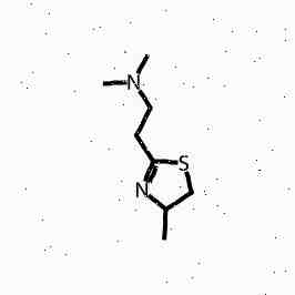 CC1CSC(CCN(C)C)=N1